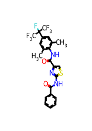 Cc1cc(C(F)(C(F)(F)F)C(F)(F)F)cc(C)c1NC(=O)c1csc(NC(=O)c2ccccc2)n1